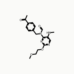 CNc1cnc(OCCOC)nc1N(C=O)Cc1ccc(C(C)=O)cc1